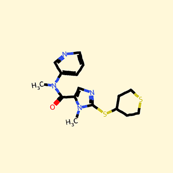 CN(C(=O)c1cnc(SC2CCSCC2)n1C)c1cccnc1